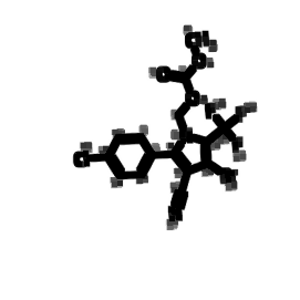 COC(=O)OCn1c(-c2ccc(Cl)cc2)c(C#N)c(Br)c1C(F)(F)F